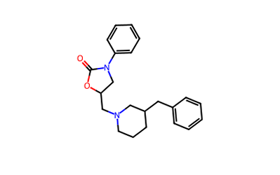 O=C1OC(CN2CCCC(Cc3ccccc3)C2)CN1c1ccccc1